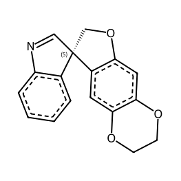 C1=Nc2ccccc2[C@@]12COc1cc3c(cc12)OCCO3